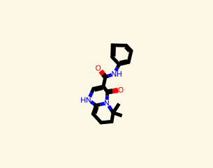 CC1(C)CCC=C2NC=C(C(=O)Nc3ccccc3)C(=O)N21